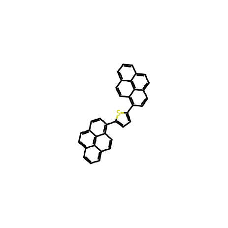 c1cc2ccc3ccc(-c4ccc(-c5ccc6ccc7cccc8ccc5c6c78)s4)c4ccc(c1)c2c34